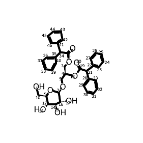 O=C(OC[C@H](CO[C@@H]1O[C@H](CO)[C@H](O)[C@H](O)[C@H]1O)OC(=O)C(c1ccccc1)c1ccccc1)C(c1ccccc1)c1ccccc1